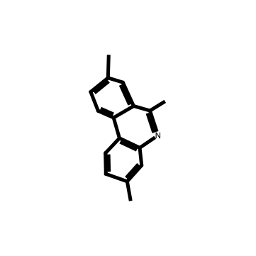 Cc1ccc2c(c1)nc(C)c1cc(C)ccc12